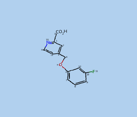 O=C(O)c1cc(COc2cccc(F)c2)ccn1